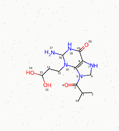 CC(C)C(=O)N1CNC2=C1N(CCC(O)O)C(N)NC2=O